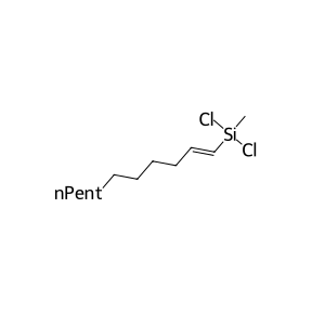 CCCCCCCCCC=C[Si](C)(Cl)Cl